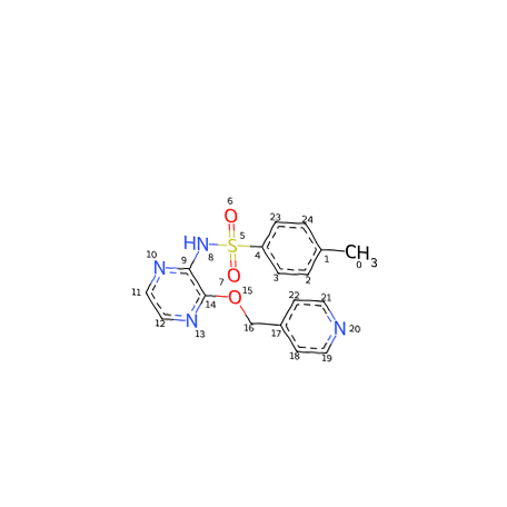 Cc1ccc(S(=O)(=O)Nc2nccnc2OCc2ccncc2)cc1